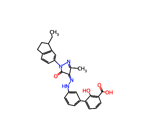 CCC1CCc2ccc(N3N=C(C)C(=NNc4cccc(-c5cccc(C(=O)O)c5O)c4)C3=O)cc21